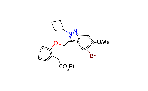 CCOC(=O)Cc1ccccc1OCc1c2cc(Br)c(OC)cc2nn1C1CCC1